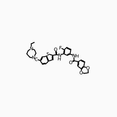 CCN1CCCN(Cc2ccc3cc(C(=O)Nc4cc(NC(=O)c5ccc6c(c5)OCCO6)ccc4F)sc3c2)CC1